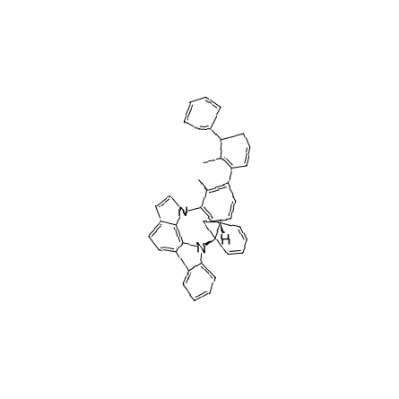 CC1=C(c2cccc(-n3ccc4ccc5c6ccccc6n([C@]67C=CC=C[C@H]6C7)c5c43)c2C)C=CCC1c1ccccc1